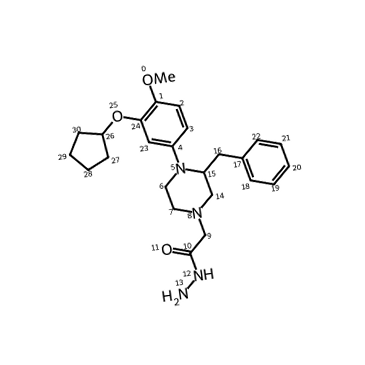 COc1ccc(N2CCN(CC(=O)NN)CC2Cc2ccccc2)cc1OC1CCCC1